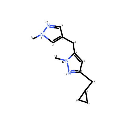 Cn1cc(Cc2cc(CC3CC3)nn2C)cn1